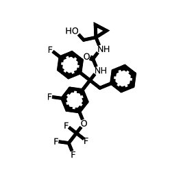 O=C(NC1(CO)CC1)NC(Cc1ccccc1)(c1ccc(F)cc1)c1cc(F)cc(OC(F)(F)C(F)F)c1